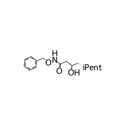 CCC[C@@H](C)C[C@@H](O)CC(=O)NOCc1ccccc1